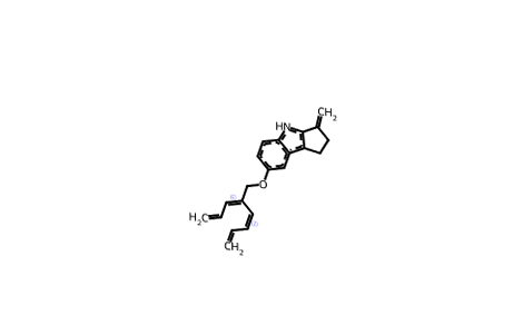 C=C/C=C\C(=C/C=C)COc1ccc2[nH]c3c(c2c1)CCC3=C